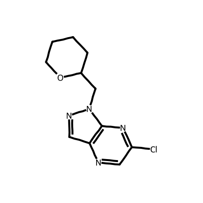 Clc1cnc2cnn(CC3CCCCO3)c2n1